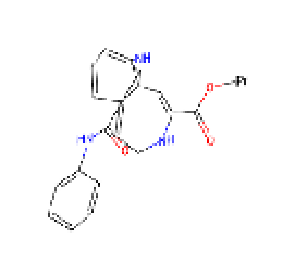 CC(C)OC(=O)C1=CC23C(=CCN1)C=CC=C2NCC3C(=O)Nc1ccccc1